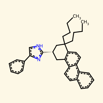 CCCCC1(CCCC)C[C@@H](c2nc(-c3ccccc3)c[nH]2)Cc2c1ccc1c2ccc2ccccc21